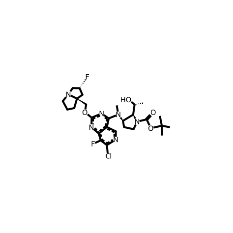 C[C@@H](O)[C@@H]1[C@H](N(C)c2nc(OC[C@@]34CCCN3C[C@H](F)C4)nc3c(F)c(Cl)ncc23)CCN1C(=O)OC(C)(C)C